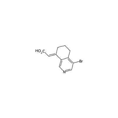 O=C(O)C=C1CCCc2c(Br)cncc21